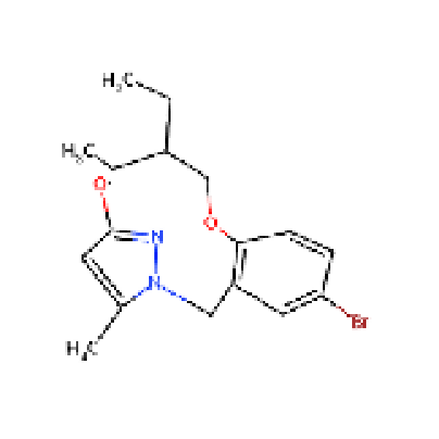 CCC(CC)COc1ccc(Br)cc1Cn1nc([O])cc1C